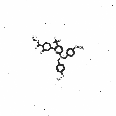 CCOC(=O)C1CCC(c2nc(N(Cc3ccc(OC)cc3)Cc3ccc(OC)cc3)ccc2C(F)(F)F)CC1=O